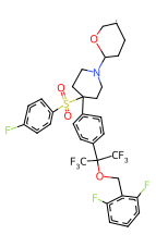 O=S(=O)(c1ccc(F)cc1)C1(c2ccc(C(OCc3c(F)cccc3F)(C(F)(F)F)C(F)(F)F)cc2)CCN(C2CC[CH]CO2)CC1